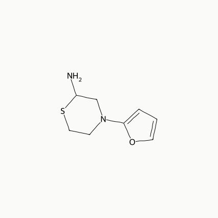 NC1CN(c2ccco2)CCS1